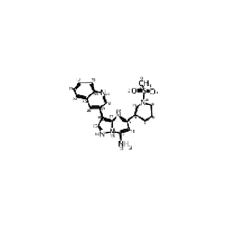 CS(=O)(=O)N1CCCC(c2cc(N)n3ncc(-c4cnc5ccccc5c4)c3n2)C1